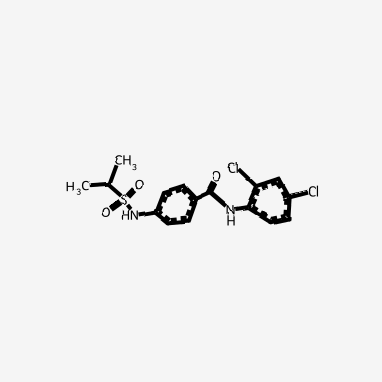 CC(C)S(=O)(=O)Nc1ccc(C(=O)Nc2ccc(Cl)cc2Cl)cc1